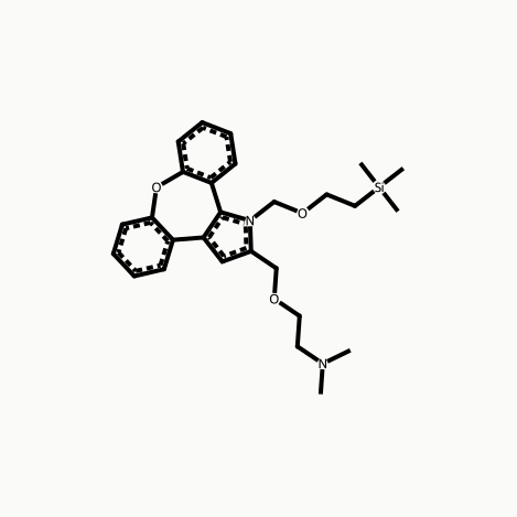 CN(C)CCOCc1cc2c(n1COCC[Si](C)(C)C)-c1ccccc1Oc1ccccc1-2